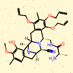 C=CCOc1c(C)c(OCC=C)c(OCC=C)c2c1C[C@H]1[C@@H]3c4c(cc(C)c(OC)c4O)C[C@H]([C@H](C#N)N1[C@H]2CNC(=O)[C@H](C)N)N3C